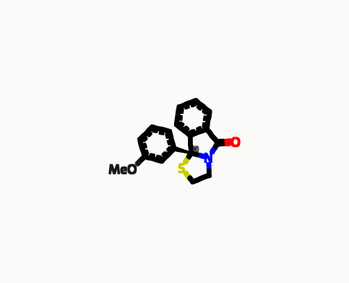 COc1cccc([C@]23SCCN2C(=O)c2ccccc23)c1